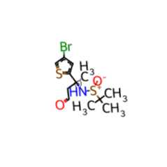 CC(C)(C)[S+]([O-])N[C@@](C)(CC=O)c1cc(Br)cs1